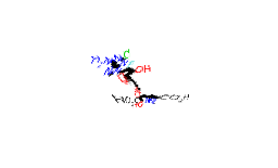 Cn1nc(CC(CO)(OC[C@H]2O[C@@H](n3cnc4c(N)nc(Cl)nc43)[C@@H](F)[C@@H]2O)C(=O)O)cc1C(=O)O